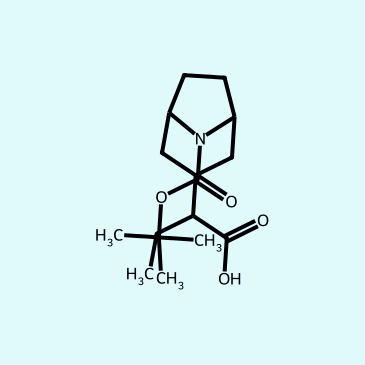 CCC(C(=O)O)C1CC2CCC(C1)N2C(=O)OC(C)(C)C